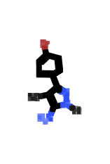 CCn1nc(-c2ccc(Br)cc2)c(C#N)c1N